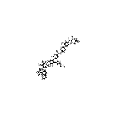 COc1cc(N2CCN(C(=O)CN3CCC(c4ccc(NC5CCC(=O)NC5=O)cc4F)CC3)CC2)c(-c2cnn(C)c2)cc1Nc1ncc(Br)c(Nc2ccc3nccnc3c2P(=O)(OC)OC)n1